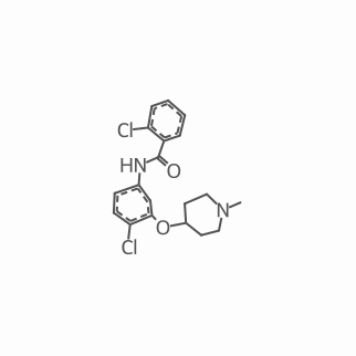 CN1CCC(Oc2cc(NC(=O)c3ccccc3Cl)ccc2Cl)CC1